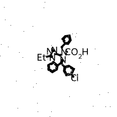 CCc1nnc2n1-c1ccccc1C(c1ccc(Cl)cc1)=NC2N(Cc1ccccc1)C(=O)O